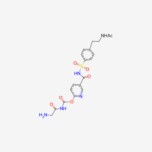 CC(=O)NCCc1ccc(S(=O)(=O)NC(=O)c2ccc(OC(=O)NC(=O)CN)nc2)cc1